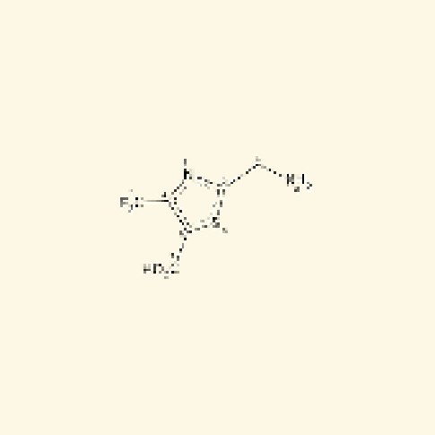 NCc1nc(C(F)(F)F)c(C(=O)O)s1